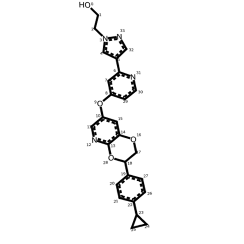 OCCn1cc(-c2cc(Oc3cnc4c(c3)OCC(c3ccc(C5CC5)cc3)O4)ccn2)cn1